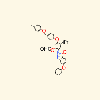 Cc1ccc(OCc2ccc(Oc3cc(OC=O)c(NC(=O)c4ccc(Oc5ccccc5)cc4)cc3C(C)C)cc2)cc1